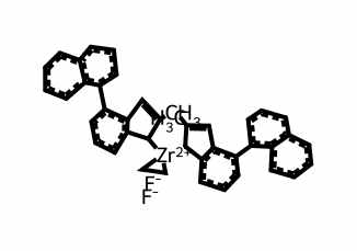 CC1=Cc2c(-c3cccc4ccccc34)cccc2[CH]1[Zr+2]1([CH]2C(C)=Cc3c(-c4cccc5ccccc45)cccc32)[CH2][CH2]1.[F-].[F-]